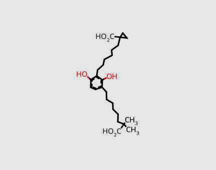 CC(C)(CCCCCCc1ccc(O)c(CCCCCCC2(C(=O)O)CC2)c1O)C(=O)O